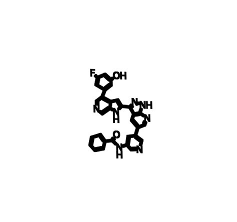 O=C(Nc1cncc(-c2cnc3[nH]nc(-c4cc5c(-c6cc(O)cc(F)c6)cncc5[nH]4)c3c2)c1)c1ccccc1